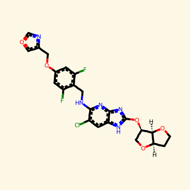 Fc1cc(OCc2cocn2)cc(F)c1CNc1nc2nc(O[C@@H]3CO[C@@H]4CCO[C@@H]43)[nH]c2cc1Cl